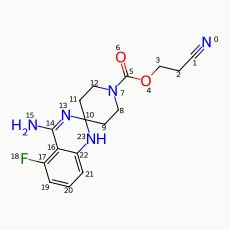 N#CCCOC(=O)N1CCC2(CC1)N=C(N)c1c(F)cccc1N2